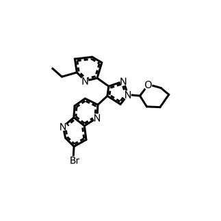 CCc1cccc(-c2nn(C3CCCCO3)cc2-c2ccc3ncc(Br)cc3n2)n1